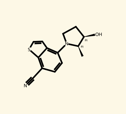 C[C@@H]1[C@H](O)CCN1c1ccc(C#N)c2sccc12